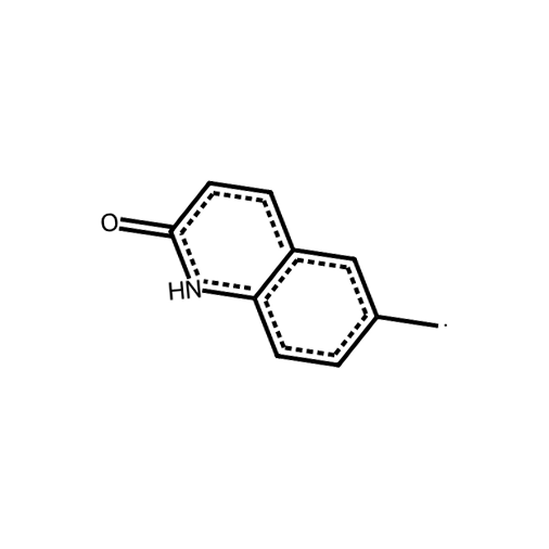 [CH2]c1ccc2[nH]c(=O)ccc2c1